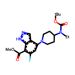 CCN(C(=O)OC(C)(C)C)C1CCN(c2cc(F)c(C(=O)OC)c3[nH]ncc23)CC1